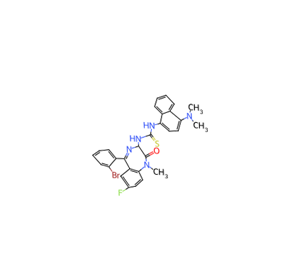 CN(C)c1ccc(NC(=S)NC2N=C(c3ccccc3Br)c3cc(F)ccc3N(C)C2=O)c2ccccc12